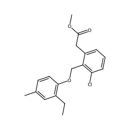 CCc1cc(C)ccc1OCc1c(Cl)cccc1CC(=O)OC